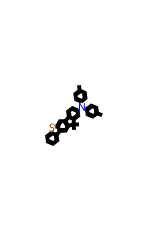 Cc1ccc(N(c2ccc(C)cc2)c2ccc3c(c2)C(C)(C)c2cc4c(cc2-3)sc2ccccc24)cc1